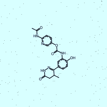 CC(=O)Nc1ccc(OC(=O)Nc2cc(C3=NNC(=O)CC3C)ccc2O)cn1